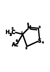 CC(=O)C1(C)CSC=N1